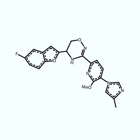 COc1nc(C2=NOCC(c3cc4cc(F)ccc4o3)N2)ccc1-n1cnc(C)c1